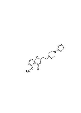 COc1cccc2oc(CCN3CCN(c4ccccc4)CC3)cc(=O)c12